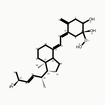 C=C1CC(O)[C@](O)(OO)CC1=CC=C1CCC[C@@]2(C)C1CC[C@@H]2[C@H](C)/C=C/[C@H](C)C(C)C